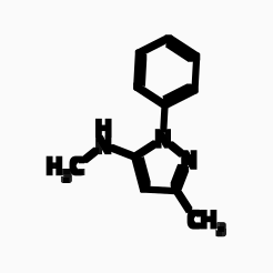 CNc1cc(C)nn1-c1ccccc1